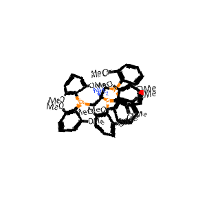 COc1cccc(OC)c1P(CC(N)(CP(c1c(OC)cccc1OC)c1c(OC)cccc1OC)P(c1c(OC)cccc1OC)c1c(OC)cccc1OC)c1c(OC)cccc1OC